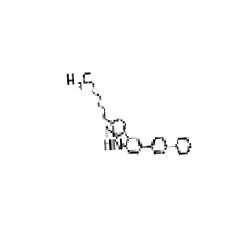 CCCCCC=Cc1ccc2c(n1)[nH]c1ccc(-c3ccc(-c4ccccc4)cc3)cc12